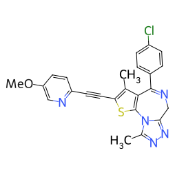 COc1ccc(C#Cc2sc3c(c2C)C(c2ccc(Cl)cc2)=NCc2nnc(C)n2-3)nc1